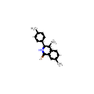 Cc1ccc(-c2[nH]c(=S)c3cc(C)ccc3c2[N+](=O)[O-])cc1